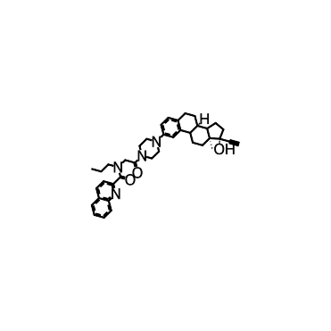 C#C[C@]1(O)CCC2[C@@H]3CCc4ccc(N5CCN(C(=O)CN(CCC)C(=O)c6ccc7ccccc7n6)CC5)cc4C3CC[C@@]21C